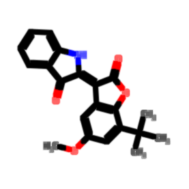 COc1cc2c(c(C(C)(C)C)c1)OC(=O)C2=C1Nc2ccccc2C1=O